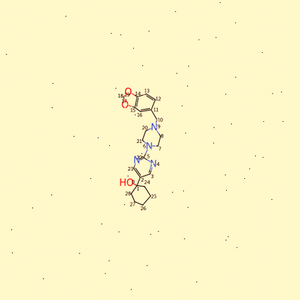 OC1(c2cnc(N3CCN(Cc4ccc5c(c4)OCO5)CC3)nc2)CCCCC1